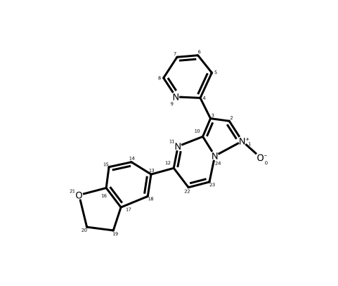 [O-][n+]1cc(-c2ccccn2)c2nc(-c3ccc4c(c3)CCO4)ccn21